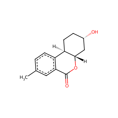 Cc1ccc2c(c1)C(=O)O[C@H]1C[C@@H](O)CC[C@H]21